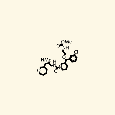 CNC(CNC(=O)N1CCCC(C(OCCNC(=O)OC)c2cccc(Cl)c2)C1)CC1CCCCOC1